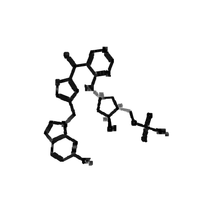 NS(=O)(=O)OC[C@H]1C[C@@H](Nc2ncncc2C(=O)c2cc(Cn3ccc4ccc(C(F)(F)F)cc43)cs2)C[C@@H]1O